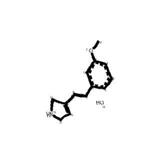 COc1cccc(CCC2=CCNC2)c1.Cl